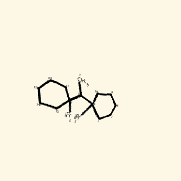 CC(C)C1(C(C)C2(C(C)C)CCCCC2)CCCCC1